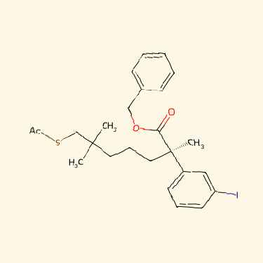 CC(=O)SCC(C)(C)CCC[C@@](C)(C(=O)OCc1ccccc1)c1cccc(I)c1